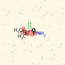 CCC(=O)O[C@H](COC(=O)C(C)C)COc1cccc2c1B(O)O[C@@H]2CN.Cl